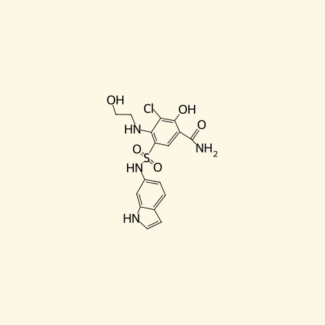 NC(=O)c1cc(S(=O)(=O)Nc2ccc3cc[nH]c3c2)c(NCCO)c(Cl)c1O